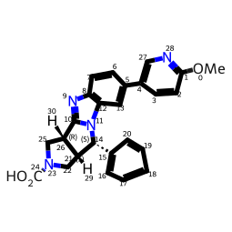 COc1ccc(-c2ccc3nc4n(c3c2)[C@H](c2ccccc2)[C@@H]2CN(C(=O)O)C[C@H]42)cn1